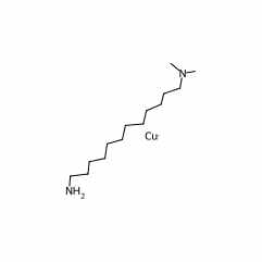 CN(C)CCCCCCCCCCCCN.[Cu]